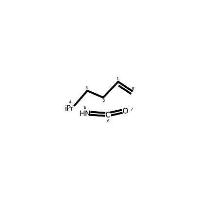 C=CCCC(C)C.N=C=O